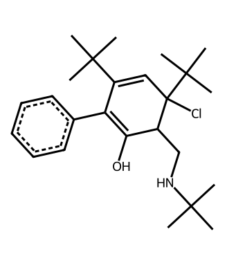 CC(C)(C)NCC1C(O)=C(c2ccccc2)C(C(C)(C)C)=CC1(Cl)C(C)(C)C